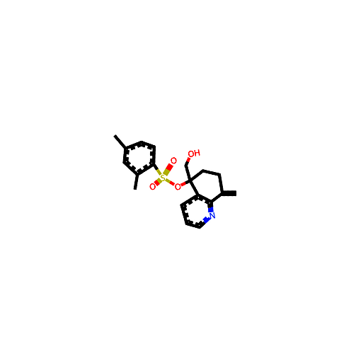 C=C1CCC(CO)(OS(=O)(=O)c2ccc(C)cc2C)c2cccnc21